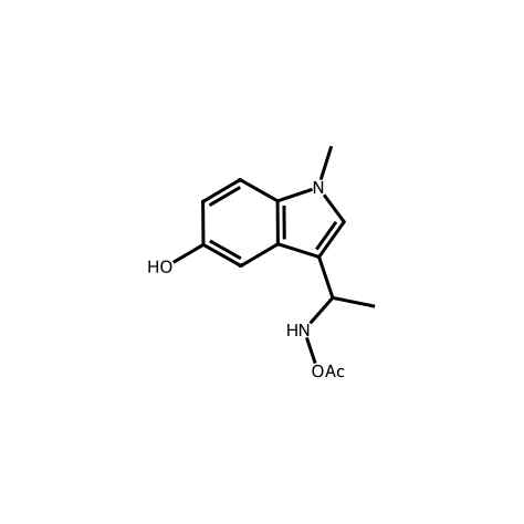 CC(=O)ONC(C)c1cn(C)c2ccc(O)cc12